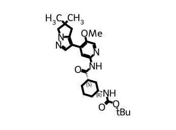 COc1cnc(NC(=O)[C@H]2CCC[C@@H](NC(=O)OC(C)(C)C)C2)cc1-c1cnn2c1CC(C)(C)C2